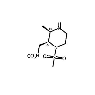 C[C@H]1NCCN(S(C)(=O)=O)[C@H]1CC(=O)O